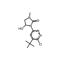 CN1CC(O)N(c2cc(C(C)(C)C)c(Cl)nn2)C1=O